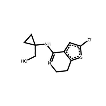 OCC1(NC2=NCCc3sc(Cl)cc32)CC1